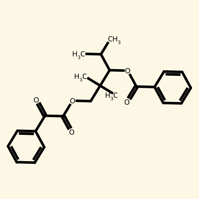 CC(C)C(OC(=O)c1ccccc1)C(C)(C)COC(=O)C(=O)c1ccccc1